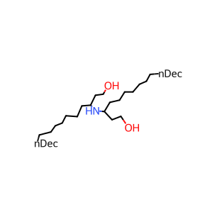 CCCCCCCCCCCCCCCCCC(CCO)NC(CCO)CCCCCCCCCCCCCCCCC